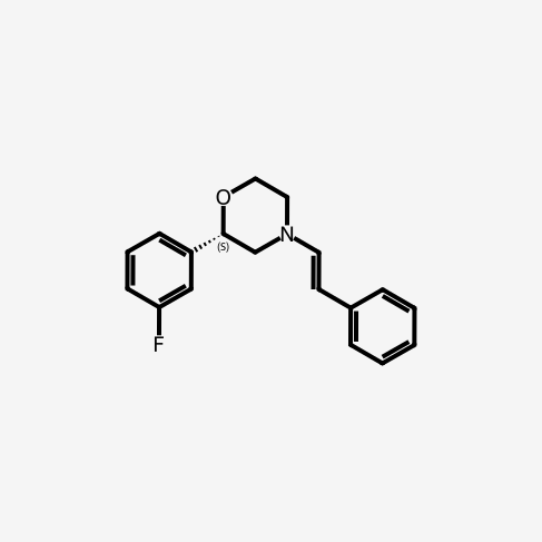 Fc1cccc([C@H]2CN(C=Cc3ccccc3)CCO2)c1